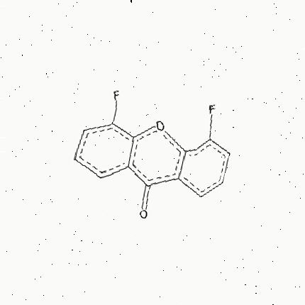 O=c1c2cccc(F)c2oc2c(F)cccc12